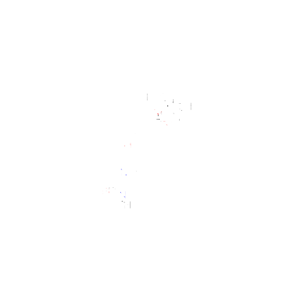 CN1CCCN(CCOc2ccc(B3OC(C)(C)C(C)(C)O3)cc2)CC1=O